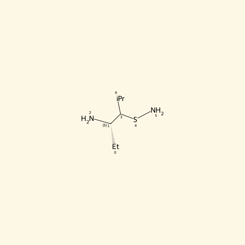 CC[C@H](N)C(SN)C(C)C